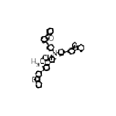 CC1(C)c2cc(-c3ccc4oc5ccccc5c4c3)ccc2-c2ccc(N(c3ccc(-c4ccc5c(c4)oc4ccccc45)cc3)c3ccc(-c4cccc5c4oc4ccccc45)cc3)cc21